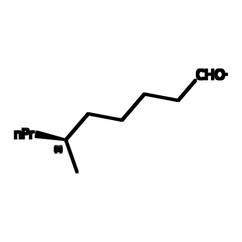 CCC[C@H](C)CCCC[C]=O